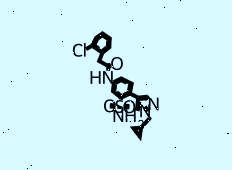 NS(=O)(=O)c1cc(NC(=O)Cc2ccccc2Cl)ccc1-c1cnn(CC2CC2)c1